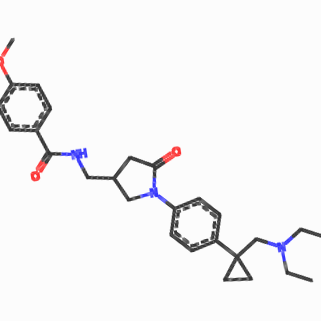 CCN(CC)CC1(c2ccc(N3CC(CNC(=O)c4ccc(OC)cc4)CC3=O)cc2)CC1